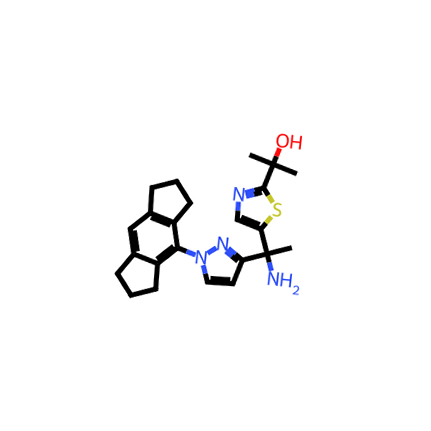 CC(C)(O)c1ncc(C(C)(N)c2ccn(-c3c4c(cc5c3CCC5)CCC4)n2)s1